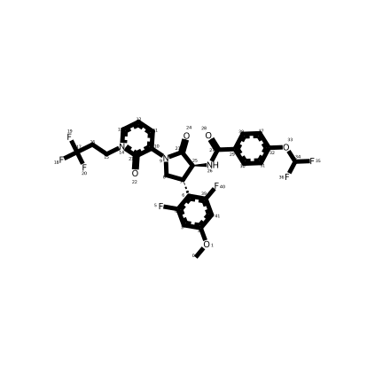 COc1cc(F)c([C@@H]2CN(c3cccn(CCC(F)(F)F)c3=O)C(=O)[C@H]2NC(=O)c2ccc(OC(F)F)cc2)c(F)c1